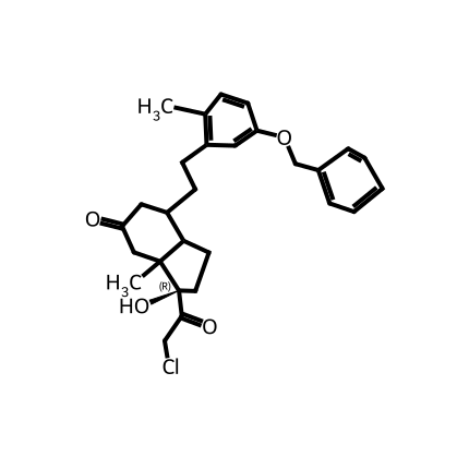 Cc1ccc(OCc2ccccc2)cc1CCC1CC(=O)CC2(C)C1CC[C@]2(O)C(=O)CCl